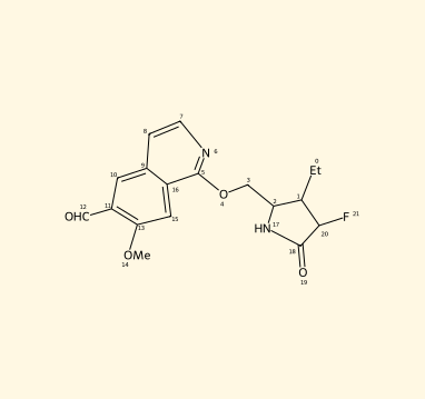 CCC1C(COc2nccc3cc(C=O)c(OC)cc23)NC(=O)C1F